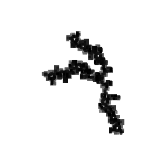 CCN(CCCOc1cc2ncnc(Nc3cc(CC(=O)Nc4cc(F)cc(F)c4)[nH]n3)c2cc1OC)CCOP(=O)(OCCN(CC)CCCOc1cc2ncnc(Nc3cc(CC(=O)Nc4cc(F)cc(F)c4)[nH]n3)c2cc1OC)OCCN(CC)CCCOc1cc2ncnc(Nc3cc(CC(=O)Nc4cc(F)cc(F)c4)[nH]n3)c2cc1OC